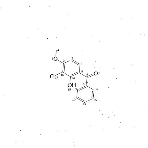 COc1ccc(C(=O)c2ccccc2)c(O)c1Cl